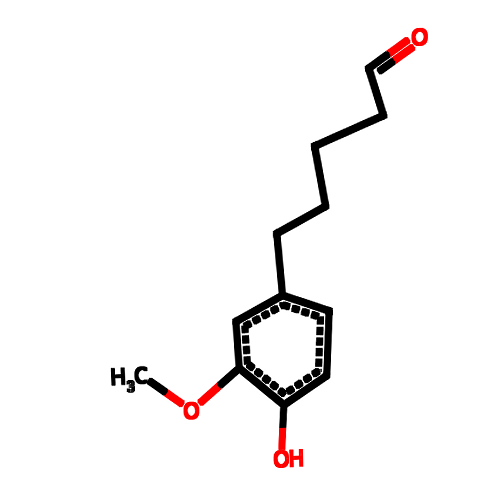 COc1cc(CCCCC=O)ccc1O